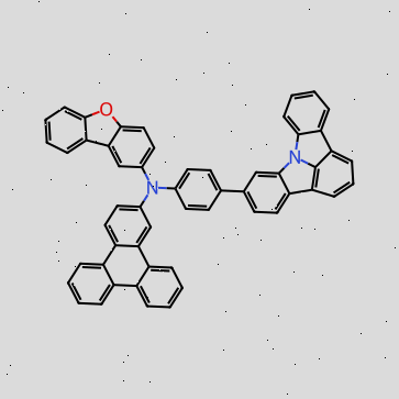 c1ccc2c(c1)oc1ccc(N(c3ccc(-c4ccc5c6cccc7c8ccccc8n(c5c4)c76)cc3)c3ccc4c5ccccc5c5ccccc5c4c3)cc12